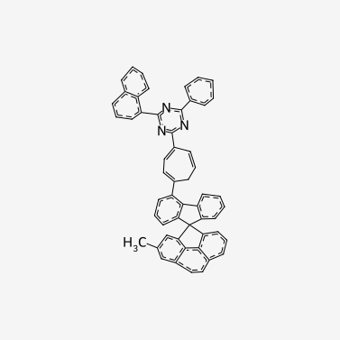 Cc1cc2c3c(ccc4cccc(c43)C23c2ccccc2-c2c(C4=CC=C(c5nc(-c6ccccc6)nc(-c6cccc7ccccc67)n5)C=CC4)cccc23)c1